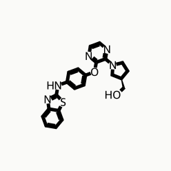 OC[C@@H]1CCN(c2nccnc2Oc2ccc(Nc3nc4ccccc4s3)cc2)C1